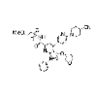 COCCS(=O)(=O)NC(=O)c1cc(-c2ccc(N3CCC(C#N)CC3)nc2)c2c(OC3CCOC3)nn(-c3ccccc3)c2n1